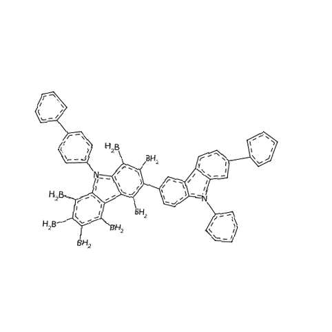 Bc1c(B)c(B)c2c(c1B)c1c(B)c(-c3ccc4c(c3)c3ccc(-c5ccccc5)cc3n4-c3ccccc3)c(B)c(B)c1n2-c1ccc(-c2ccccc2)cc1